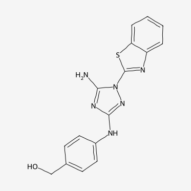 Nc1nc(Nc2ccc(CO)cc2)nn1-c1nc2ccccc2s1